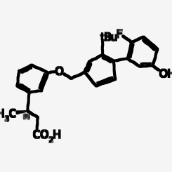 C[C@H](CC(=O)O)c1cccc(OCc2ccc(-c3cc(O)ccc3F)c(C(C)(C)C)c2)c1